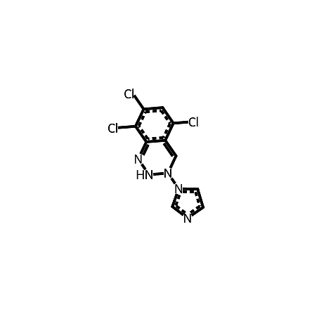 Clc1cc(Cl)c2c(c1Cl)=NNN(n1ccnc1)C=2